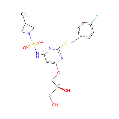 CC1CN(S(=O)(=O)Nc2cc(OC[C@@H](O)CO)nc(SCc3ccc(F)cc3)n2)C1